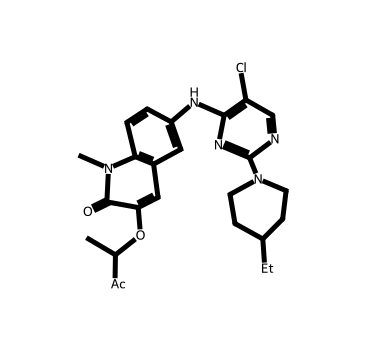 CCC1CCN(c2ncc(Cl)c(Nc3ccc4c(c3)cc(OC(C)C(C)=O)c(=O)n4C)n2)CC1